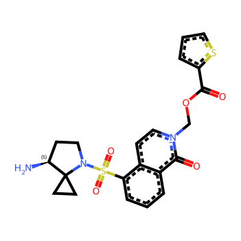 N[C@H]1CCN(S(=O)(=O)c2cccc3c(=O)n(COC(=O)c4cccs4)ccc23)C12CC2